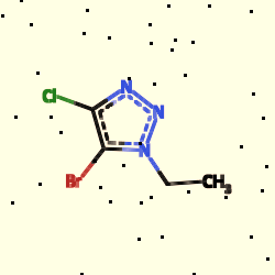 CCn1nnc(Cl)c1Br